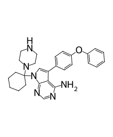 Nc1ncnc2c1c(-c1ccc(Oc3ccccc3)cc1)cn2C1(N2CCNCC2)CCCCC1